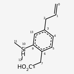 C=CCc1ccc(CC(=O)O)c([SiH](C)C)c1